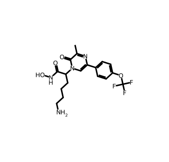 Cc1nc(-c2ccc(OC(F)(F)F)cc2)cn(C(CCCCN)C(=O)NO)c1=O